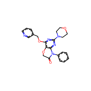 O=C1COc2c(OCc3cccnc3)nc(N3CCOCC3)nc2N1c1ccccc1